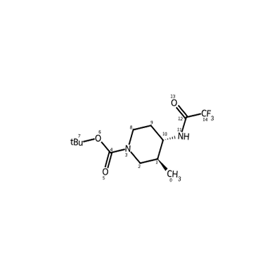 C[C@H]1CN(C(=O)OC(C)(C)C)CC[C@@H]1NC(=O)C(F)(F)F